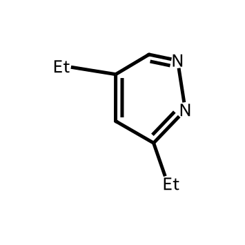 CCc1cnnc(CC)c1